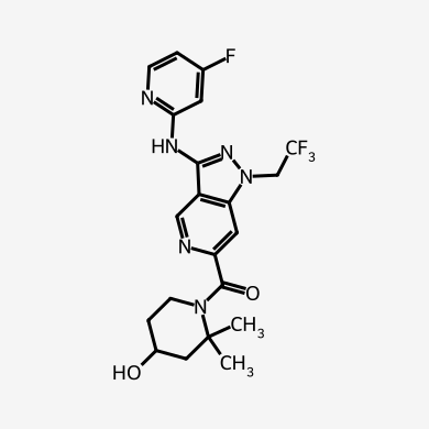 CC1(C)CC(O)CCN1C(=O)c1cc2c(cn1)c(Nc1cc(F)ccn1)nn2CC(F)(F)F